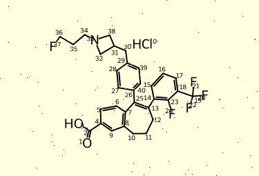 Cl.O=C(O)c1ccc2c(c1)CCCC(c1cccc(C(F)(F)F)c1F)=C2c1ccc(CC2CN(CCCF)C2)cc1